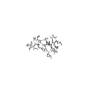 CCC(Oc1ccc(C(F)(F)F)cn1)C1CC(C)CN1C(=O)c1cccc(C)c1-c1ncco1